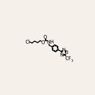 O=C(NCc1ccc(-c2noc(C(F)(F)F)n2)cc1)OCCCCCl